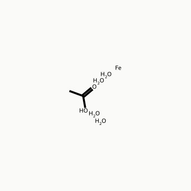 CC(=O)O.O.O.O.O.[Fe]